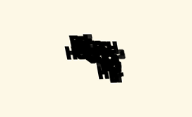 CC1(C)c2cc(C(O)(C(F)(F)F)C(F)(F)F)ccc2N[C@@H]2c3cc(Br)ccc3SC[C@H]21